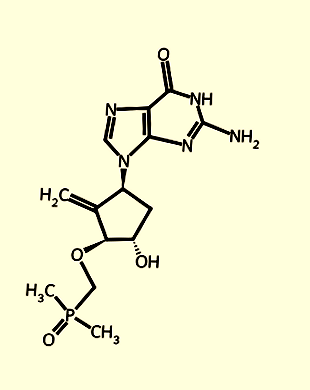 C=C1[C@H](OCP(C)(C)=O)[C@@H](O)C[C@@H]1n1cnc2c(=O)[nH]c(N)nc21